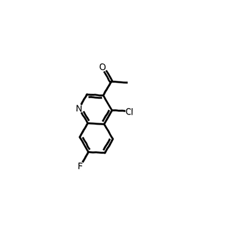 CC(=O)c1cnc2cc(F)ccc2c1Cl